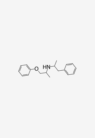 CC(COc1ccccc1)NC(C)Cc1ccccc1